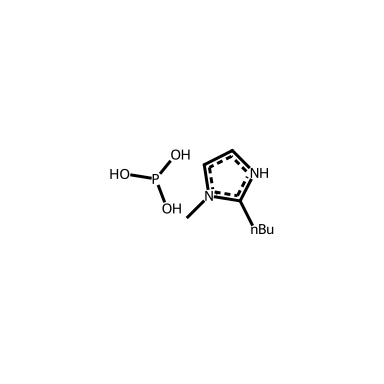 CCCCc1[nH]cc[n+]1C.OP(O)O